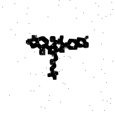 C[C@H]1CC2(CCN(c3nc4c(c(-c5ccc6nn(C)cc6c5Cl)cn4COCC[Si](C)(C)C)c(=O)n3C)CC2)CO1